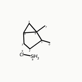 CC1CCC2CC12C.[SiH3]Cl